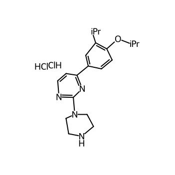 CC(C)Oc1ccc(-c2ccnc(N3CCNCC3)n2)cc1C(C)C.Cl.Cl